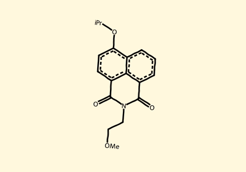 COCCN1C(=O)c2cccc3c(OC(C)C)ccc(c23)C1=O